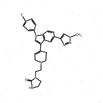 Cn1cc(-c2ccc3c(c2)c(C2=CCN(CCN4CCNC4=O)CC2)cn3-c2ccc(F)cc2)nn1